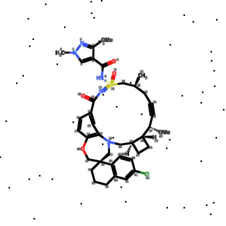 COc1nn(C)cc1C(=O)N[S@@]1(=O)=NC(=O)c2ccc3c(c2)N(C[C@@H]2CC[C@H]2[C@@H](OC)C#CC[C@H](C)C1)C[C@@]1(CCCc2cc(Cl)ccc21)CO3